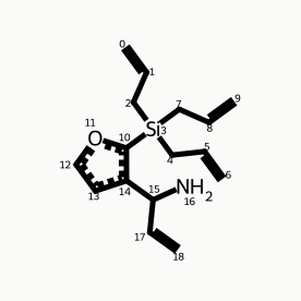 C=CC[Si](CC=C)(CC=C)c1occc1C(N)C=C